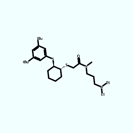 CCN(CC)CCCN(C)C(=O)CS[C@@H]1CCCC[C@H]1Sc1cc(C(C)(C)C)cc(C(C)(C)C)c1